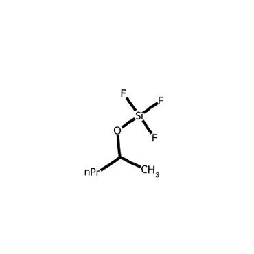 CCCC(C)O[Si](F)(F)F